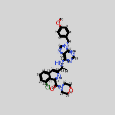 COc1ccc(Cn2cnc3c(N[C@@H](C)c4cc5cccc(Cl)c5c(C(=O)N5CCOCC5)n4)ncnc32)cc1